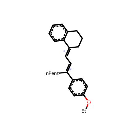 CCCCC/C(=C\C=C1/CCCc2ccccc21)c1ccc(OCC)cc1